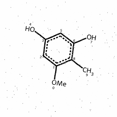 COc1[c]c(O)cc(O)c1C